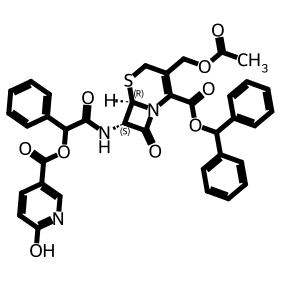 CC(=O)OCC1=C(C(=O)OC(c2ccccc2)c2ccccc2)N2C(=O)[C@H](NC(=O)C(OC(=O)c3ccc(O)nc3)c3ccccc3)[C@H]2SC1